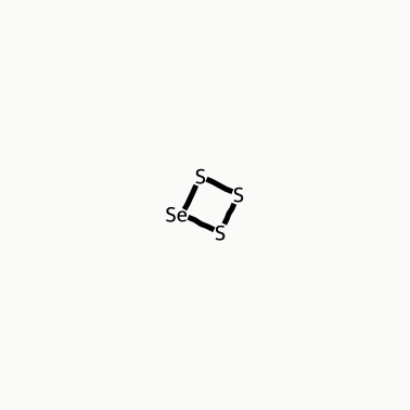 S1S[Se]S1